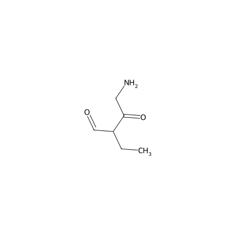 CCC(C=O)C(=O)CN